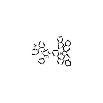 c1ccc(-c2nc(-c3cc(-c4ccccc4)c(-n4c5cc6ccccc6cc5c5cc6ccccc6cc54)c(-c4ccc5ccccc5c4)c3)nc(-c3cccc4sc5ccccc5c34)n2)cc1